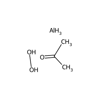 CC(C)=O.OO.[AlH3]